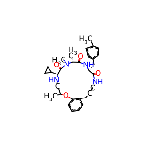 Cc1ccc(C[C@H]2NC(=O)[C@@H](C)N(C)C(=O)[C@H](C3CC3)NC[C@H](C)Oc3ccccc3CCCNC2=O)cc1